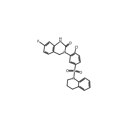 O=C1Nc2cc(F)ccc2CN1c1cc(S(=O)(=O)N2CCCc3ccccc32)ccc1Cl